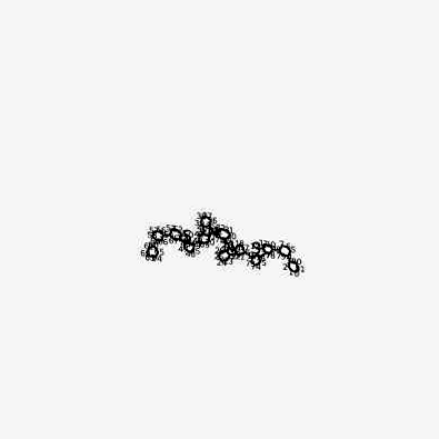 c1ccc(-c2cccc(-c3ccc4sc5c(-c6ccc7c(c6)c6ccccc6n7-c6cccc(-n7c8ccccc8c8cc(-c9cccc%10c9sc9ccc(-c%11cccc(-c%12ccccc%12)c%11)cc9%10)ccc87)c6)cccc5c4c3)c2)cc1